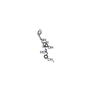 Cc1cccc(C[C@H](O)/C=C/[C@@H]2[C@H]3CC(CNCCCN4CCOCC4)=C[C@H]3C[C@H]2O)c1